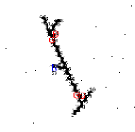 CCCCCC(CCCCC)CC(=O)OCCCCCCCCCC(CCCCCCCCCOC(=O)CC(CCCCC)CCCCC)CCN(C)C